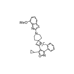 COc1cccc2sc(N3CCC4(C=C(c5c(-c6ccccc6C(F)(F)F)noc5C5CC5)C4)CC3)nc12